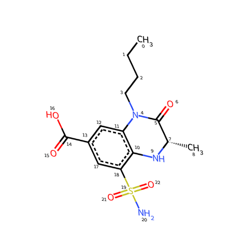 CCCCN1C(=O)[C@H](C)Nc2c1cc(C(=O)O)cc2S(N)(=O)=O